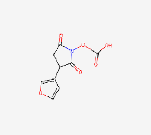 O=C(O)ON1C(=O)CC(c2ccoc2)C1=O